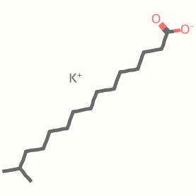 CC(C)CCCCCCCCCCCCC(=O)[O-].[K+]